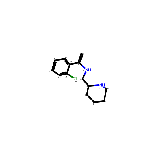 C=C(NCC1CCCCN1)c1ccccc1Cl